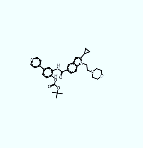 CC(C)(C)OC(=O)Nc1ccc(-c2ccncc2)cc1NC(=O)c1ccc2c(c1)cc(C1CC1)n2CCN1CCOCC1